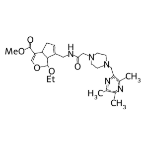 CCOC1OC=C(C(=O)OC)C2CC=C(CNC(=O)CN3CCN(Cc4nc(C)c(C)nc4C)CC3)C12